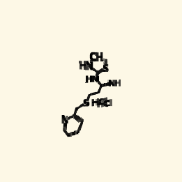 CNC(=S)NC(=N)CCSCc1ccccn1.Cl.Cl